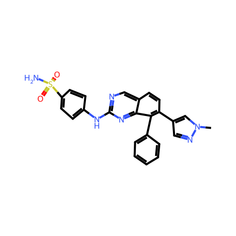 Cn1cc(-c2ccc3cnc(Nc4ccc(S(N)(=O)=O)cc4)nc3c2-c2ccccc2)cn1